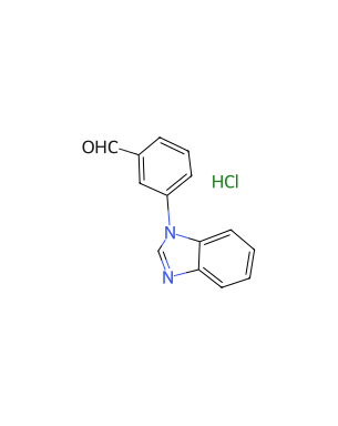 Cl.O=Cc1cccc(-n2cnc3ccccc32)c1